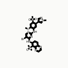 COc1cc(S(C)(=O)=O)c(-c2cnn(C)c2)cc1Nc1ncc(Br)c(Nc2ccc3nccnc3c2P(C)(C)=O)n1